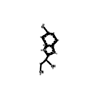 N#CCC(O)c1nc2ccc(Cl)cc2s1